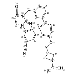 CC(C)N1CC(COc2cnc(-c3cccc(Cn4c(=O)ccn5c6cc(C#N)ccc6nc45)c3)nc2)C1